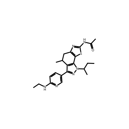 CCNc1ccc(-c2nn(C(C)CC)c3c2C(C)Cc2nc(NC(C)=O)sc2-3)cn1